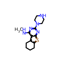 CNc1nc(N2CCNCC2)nc2sc3c(c12)CCCC3